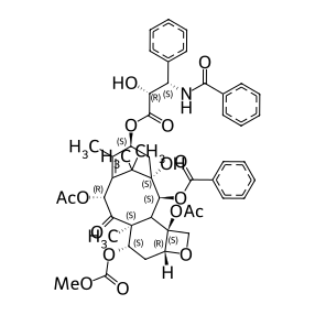 COC(=O)O[C@H]1C[C@H]2OC[C@@]2(OC(C)=O)C2[C@H](OC(=O)c3ccccc3)[C@]3(O)C[C@H](OC(=O)[C@H](O)[C@@H](NC(=O)c4ccccc4)c4ccccc4)C(C)=C([C@@H](OC(C)=O)C(=O)[C@@]21C)C3(C)C